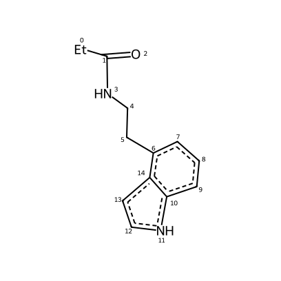 CCC(=O)NCCc1cccc2[nH]ccc12